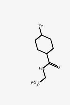 CC(C)C1CCC(C(=O)NCC(=O)O)CC1